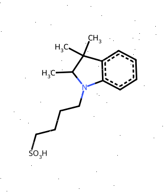 CC1N(CCCCS(=O)(=O)O)c2ccccc2C1(C)C